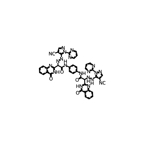 [C-]#[N+]c1cnn(-c2ncccn2)c1NNC(C(=O)Nc1ccc(NC(=O)C(N=Nc2c(C#N)cnn2-c2ncccn2)c2nc3ccccc3c(=O)[nH]2)cc1)c1nc2ccccc2c(=O)[nH]1